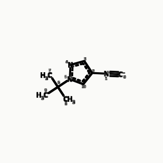 [C-]#[N+]c1cnn(C(C)(C)C)c1